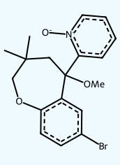 COC1(c2cccc[n+]2[O-])CC(C)(C)COc2ccc(Br)cc21